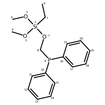 CC[Si](OC)(OC)OCP(c1ccccc1)c1ccccc1